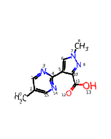 Cc1cnc(-c2cn(C)nc2C(=O)O)nc1